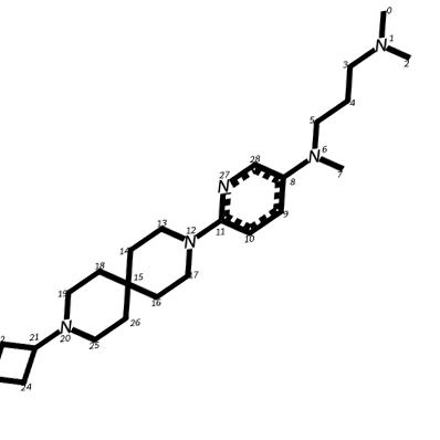 CN(C)CCCN(C)c1ccc(N2CCC3(CC2)CCN(C2CCC2)CC3)nc1